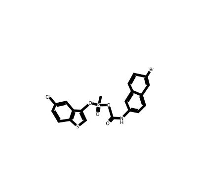 CP(=O)(OC(=O)Nc1ccc2cc(Br)ccc2c1)Oc1csc2ccc(Cl)cc12